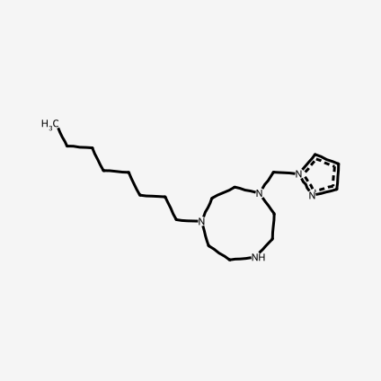 CCCCCCCCN1CCNCCN(Cn2cccn2)CC1